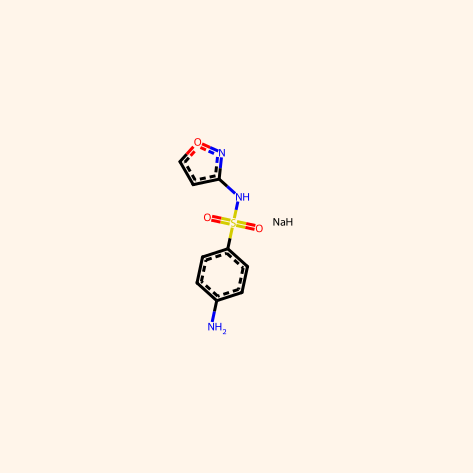 Nc1ccc(S(=O)(=O)Nc2ccon2)cc1.[NaH]